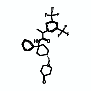 CC(C(=O)N[C@]1(c2ccccc2)CC[C@@H](CN2CCC(=O)CC2)CC1)c1cc(C(F)(F)F)cc(C(F)(F)F)c1